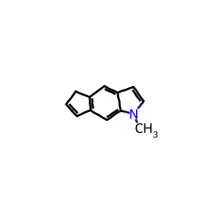 Cn1ccc2cc3c(cc21)C=CC3